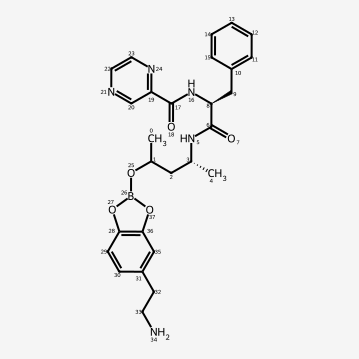 CC(C[C@@H](C)NC(=O)[C@H](Cc1ccccc1)NC(=O)c1cnccn1)OB1Oc2ccc(CCN)cc2O1